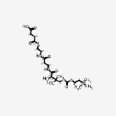 CC(C)(COC(=O)OCC[N+](C)(C)C)[C@@H](O)C(=O)NCCC(=O)NCCSC(=O)CCC(=O)O